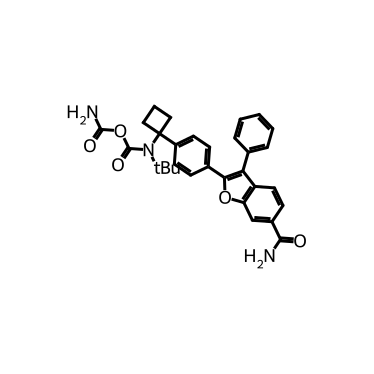 CC(C)(C)N(C(=O)OC(N)=O)C1(c2ccc(-c3oc4cc(C(N)=O)ccc4c3-c3ccccc3)cc2)CCC1